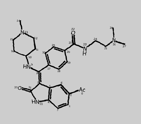 CC(=O)c1ccc2c(c1)/C(=C(/NC1CCN(C)CC1)c1ccc(C(=O)NCCN(C)C)cc1)C(=O)N2